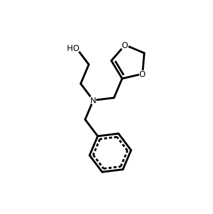 OCCN(CC1=COCO1)Cc1ccccc1